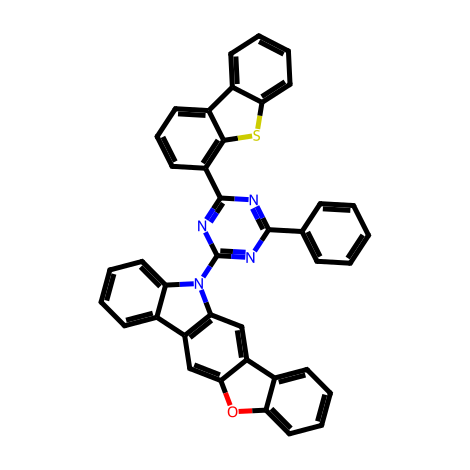 c1ccc(-c2nc(-c3cccc4c3sc3ccccc34)nc(-n3c4ccccc4c4cc5oc6ccccc6c5cc43)n2)cc1